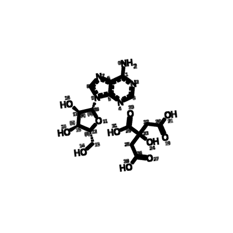 Nc1ncnc2c1ncn2[C@@H]1O[C@H](CO)[C@@H](O)[C@H]1O.O=C(O)CC(O)(CC(=O)O)C(=O)O